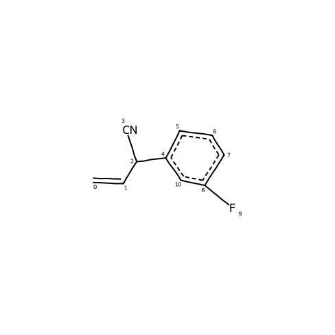 C=CC(C#N)c1cccc(F)c1